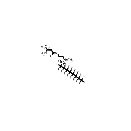 C/C(N)=C/C(=O)OCCN(C)S(=O)(=O)C(F)(F)C(F)(F)C(F)(F)C(F)(F)C(F)(F)C(F)(F)C(F)(F)C(F)(F)F